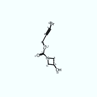 O=C(OCC#CBr)N1CC(O)C1